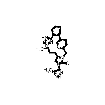 CCCCc1cn(-c2nnnn2C)c(=O)n1Cc1ccc(-c2ccccc2-c2nnn[nH]2)cn1